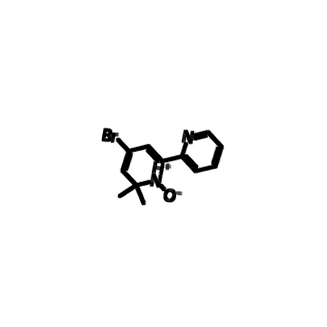 CC1(C)C=C(Br)C=C(c2ccccn2)[NH+]1[O-]